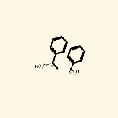 C[C@H](C(=O)O)c1ccccc1.O=C(O)c1ccccc1